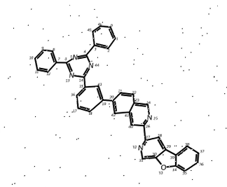 c1ccc(-c2nc(-c3ccccc3)nc(-c3cccc(-c4ccc5cnc(-c6cc7c(cn6)oc6ccccc67)cc5c4)c3)n2)cc1